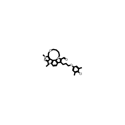 CCc1nn(C)c2c1-c1c(F)ccc3c(CCCOc4cc(C)c(Cl)c(C)c4)c(C=O)n(c13)CCCCOC2